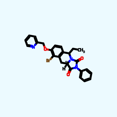 CCC1c2ccc(OCc3ccccn3)c(Br)c2C[C@H]2C(=O)N(c3ccccc3)C(=O)N12